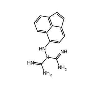 N=C(N)N(Nc1ccc2c3c(cccc13)C=C2)C(=N)N